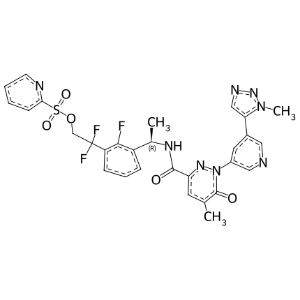 Cc1cc(C(=O)N[C@H](C)c2cccc(C(F)(F)COS(=O)(=O)c3ccccn3)c2F)nn(-c2cncc(-c3cnnn3C)c2)c1=O